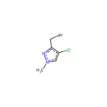 CC(C)Cc1nn(C)[c]c1Cl